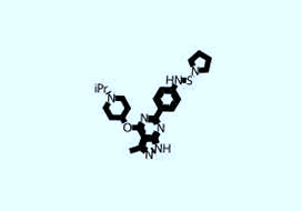 Cc1n[nH]c2nc(-c3ccc(NSN4CCCC4)cc3)nc(OC3CCN(C(C)C)CC3)c12